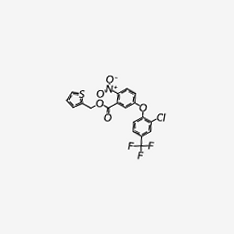 O=C(OCc1cccs1)c1cc(Oc2ccc(C(F)(F)F)cc2Cl)ccc1[N+](=O)[O-]